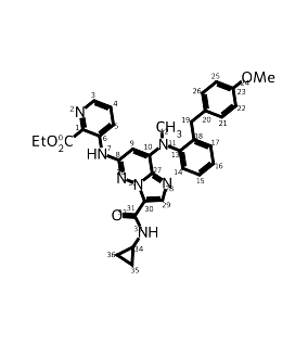 CCOC(=O)c1ncccc1Nc1cc(N(C)c2ccccc2Cc2ccc(OC)cc2)c2ncc(C(=O)NC3CC3)n2n1